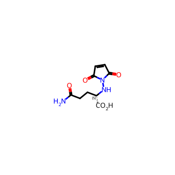 NC(=O)CC[C@H](NN1C(=O)C=CC1=O)C(=O)O